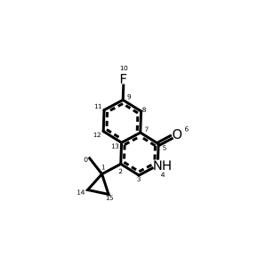 CC1(c2c[nH]c(=O)c3cc(F)ccc23)CC1